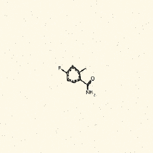 NC(=O)c1ccc(F)cc1I